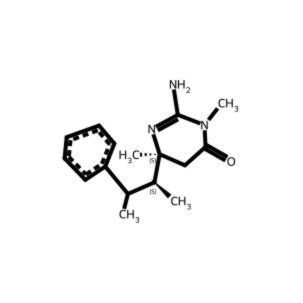 CC(c1ccccc1)[C@H](C)[C@]1(C)CC(=O)N(C)C(N)=N1